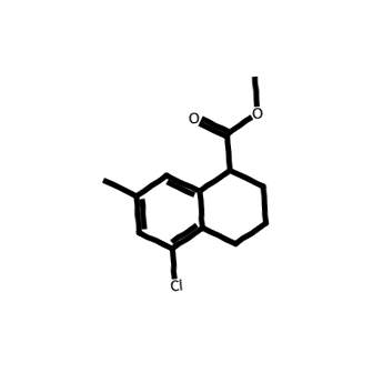 COC(=O)C1CCCc2c(Cl)cc(C)cc21